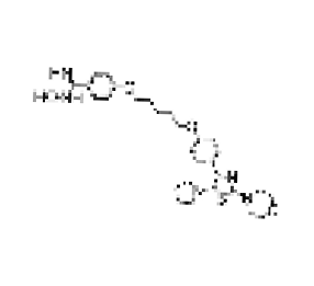 N=C(NO)c1ccc(OCCCCCOc2ccc(-c3nc(N4CCOCC4)sc3N3CCCC3)cc2)cc1